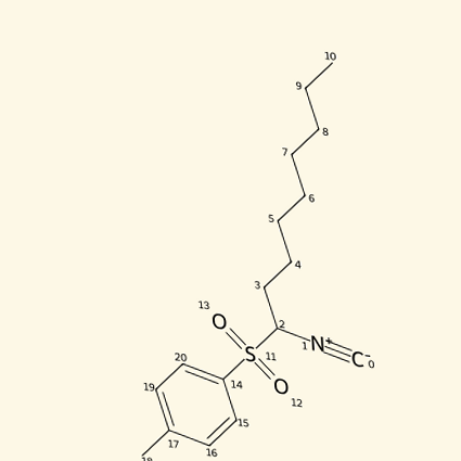 [C-]#[N+]C(CCCCCCCC)S(=O)(=O)c1ccc(C)cc1